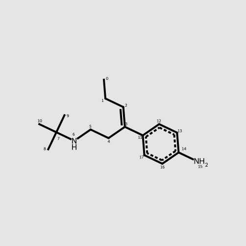 CC/C=C(\CCNC(C)(C)C)c1ccc(N)cc1